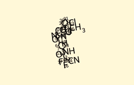 Cc1noc(-c2ccc(NC(=O)C3C(C#N)C3(F)F)cc2)c1NC(=O)O[C@H](C)c1ccccc1Cl